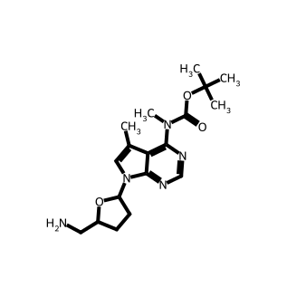 Cc1cn(C2CCC(CN)O2)c2ncnc(N(C)C(=O)OC(C)(C)C)c12